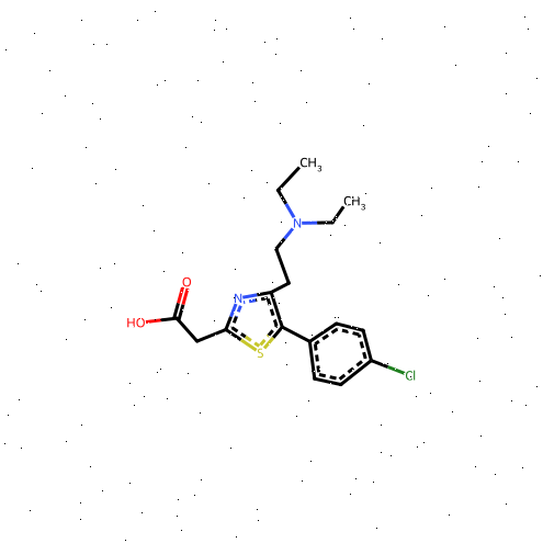 CCN(CC)CCc1nc(CC(=O)O)sc1-c1ccc(Cl)cc1